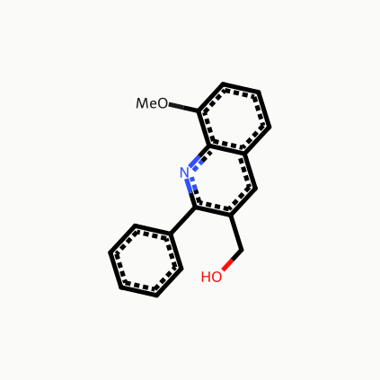 COc1cccc2cc(CO)c(-c3ccccc3)nc12